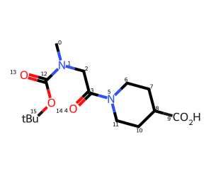 CN(CC(=O)N1CCC(C(=O)O)CC1)C(=O)OC(C)(C)C